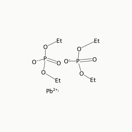 CCOP(=O)([O-])OCC.CCOP(=O)([O-])OCC.[Pb+2]